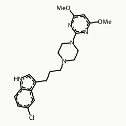 COc1cc(OC)nc(N2CCN(CCCc3c[nH]c4ccc(Cl)cc34)CC2)n1